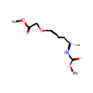 C[C@@H](CCCOCC(=O)OC(C)(C)C)NC(=O)OC(C)(C)C